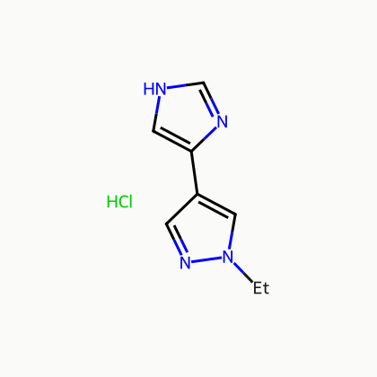 CCn1cc(-c2c[nH]cn2)cn1.Cl